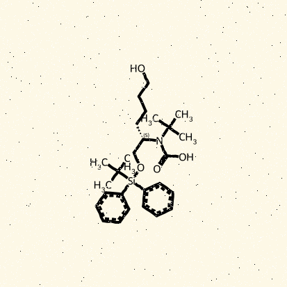 CC(C)(C)N(C(=O)O)[C@@H](CCCCO)CO[Si](c1ccccc1)(c1ccccc1)C(C)(C)C